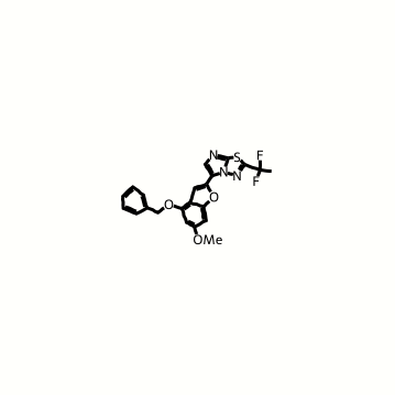 COc1cc(OCc2ccccc2)c2cc(-c3cnc4sc(C(C)(F)F)nn34)oc2c1